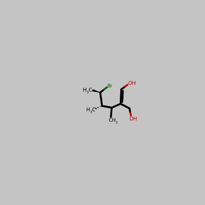 CC(/C(=C/O)CO)[C@H](C)[C@@H](C)Br